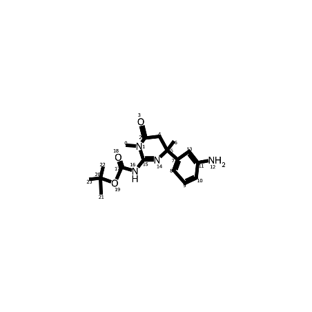 CN1C(=O)CC(C)(c2cccc(N)c2)N=C1NC(=O)OC(C)(C)C